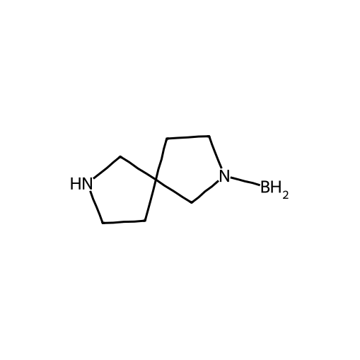 BN1CCC2(CCNC2)C1